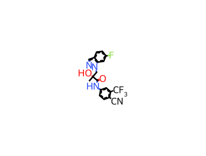 CC(O)(Cn1ncc2ccc(F)cc21)C(=O)Nc1ccc(C#N)c(C(F)(F)F)c1